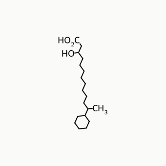 CC(CCCCCCCCC(O)CC(=O)O)C1CCCCC1